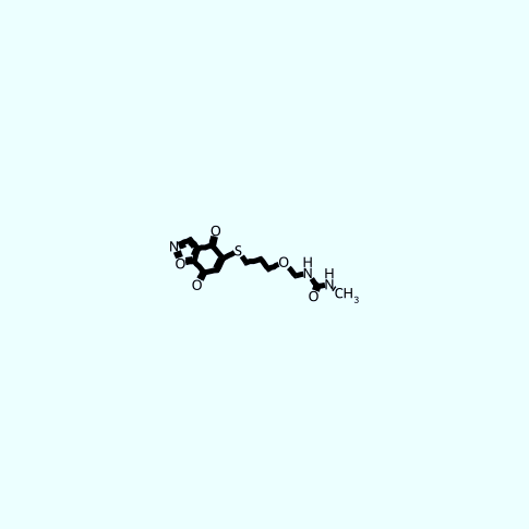 CNC(=O)NCOCCCSC1=CC(=O)c2oncc2C1=O